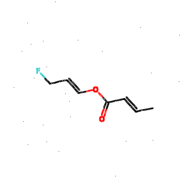 CC=CC(=O)OC=CCF